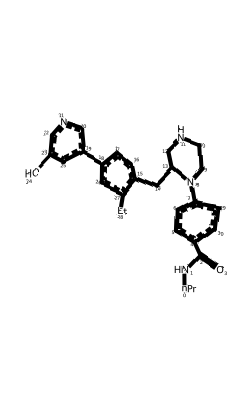 CCCNC(=O)c1ccc(N2CCNCC2Cc2ccc(-c3cncc(O)c3)cc2CC)cc1